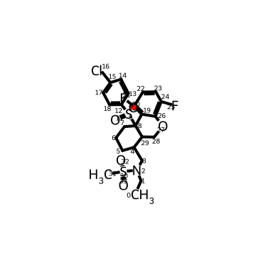 CCN(CC1CCCC2(S(=O)(=O)c3ccc(Cl)cc3)c3c(F)ccc(F)c3OCC12)S(C)(=O)=O